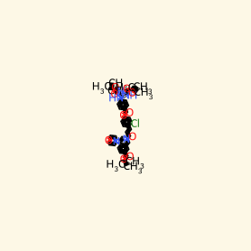 CC(C)(C)OC(=O)/N=C(/NC(=O)OC(C)(C)C)Nc1ccc(C(=O)Oc2ccc(CCC(=O)N(CCN3CCOCC3)Cc3cccc(C(=O)OC(C)(C)C)c3)c(Cl)c2)cc1